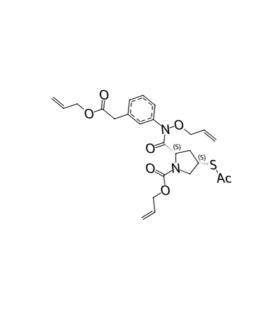 C=CCOC(=O)Cc1cccc(N(OCC=C)C(=O)[C@@H]2C[C@H](SC(C)=O)CN2C(=O)OCC=C)c1